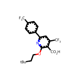 CC(C)(C)CCOc1nc(-c2ccc(C(F)(F)F)cc2)cc(C(F)(F)F)c1C(=O)O